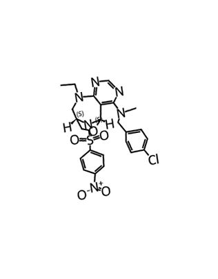 CCN1C[C@H]2CO[C@@H](c3c(N(C)Cc4ccc(Cl)cc4)ncnc31)N2S(=O)(=O)c1ccc([N+](=O)[O-])cc1